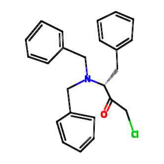 O=C(CCl)[C@@H](Cc1ccccc1)N(Cc1ccccc1)Cc1ccccc1